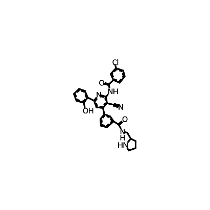 N#Cc1c(-c2cccc(C(=O)NCC3CCCN3)c2)cc(-c2ccccc2O)nc1NC(=O)c1cccc(Cl)c1